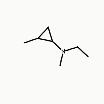 CCN(C)C1CC1C